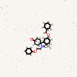 CN(CCOc1ccccc1)C1(c2cccc(OCc3ccccc3)c2)CCC(=O)CC1